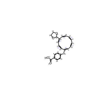 O=C(O)c1ccc(SC2=C/C=C\C=C/C=C\C(C3OCCO3)=C/C=C\2)cc1